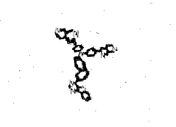 c1ccc2c(c1)sc1c(-c3ccc4cc(N(c5ccc(-c6cc7ccncc7cn6)cc5)c5ccc(-c6cc7ccncc7cn6)cc5)ccc4c3)ncnc12